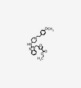 CCOC(=O)c1coc(Cn2c(NC3CCN(CCc4ccc(OC)cc4)CC3)nc3ccccc32)c1